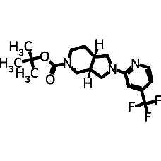 CC(C)(C)OC(=O)N1CC[C@@H]2CN(c3cc(C(F)(F)F)ccn3)C[C@@H]2C1